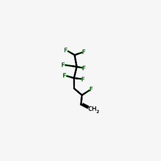 C=CC(F)CC(F)(F)C(F)(F)C(F)F